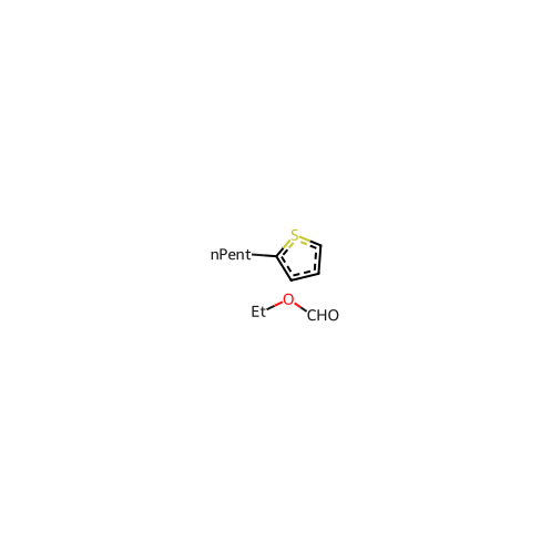 CCCCCc1cccs1.CCOC=O